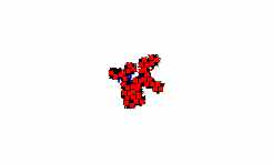 c1ccc(-c2ccc(N(c3ccc(-c4cccc5c4oc4ccccc45)cc3)c3ccc4c(c3)c3ccc5c(c3n4-c3cccc(-c4nc(-c6ccccc6)nc(-c6ccccc6)n4)c3)-c3ccccc3C53c4ccccc4-c4ccccc43)cc2)cc1